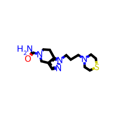 NC(=O)N1CCc2c(cnn2CCCN2CCSCC2)C1